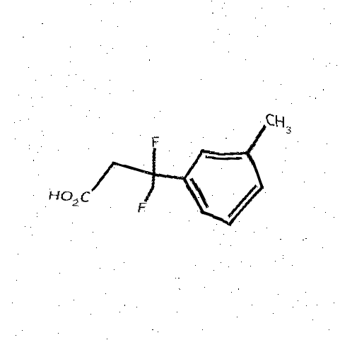 Cc1cccc(C(F)(F)CC(=O)O)c1